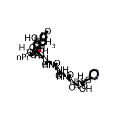 CCCC1O[C@@H]2C[C@H]3[C@@H]4CCC5=CC(=O)C=C[C@]5(C)[C@H]4[C@@H](O)C[C@]3(C)[C@]2(C(=O)COCNC(=O)CNC(=O)CNC(=O)CNC(=O)CNC(=O)[C@H](CO)NC(=O)COC2/C=C\CCCCC2)O1